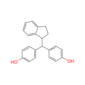 Oc1ccc(C(c2ccc(O)cc2)C2CCc3ccccc32)cc1